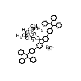 C[N+](C)(C)CCCCC1(CCCC[N+](C)(C)C)c2cc(-c3ccc(C(=C(c4ccccc4)c4ccccc4)c4ccccc4)cc3)ccc2-c2ccc(-c3ccc(C(=C(c4ccccc4)c4ccccc4)c4ccccc4)cc3)cc21.[Br-].[Br-]